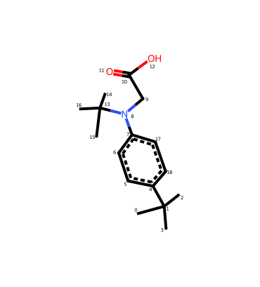 CC(C)(C)c1ccc(N(CC(=O)O)C(C)(C)C)cc1